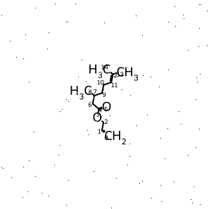 C=CCOC(=O)CC(C)CCC=C(C)C